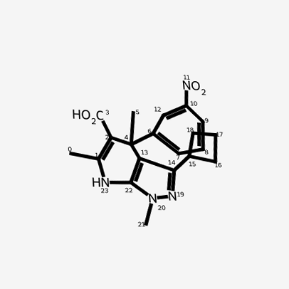 CC1=C(C(=O)O)C(C)(c2cccc([N+](=O)[O-])c2)c2c(C3CCC3)nn(C)c2N1